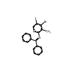 Cc1c(N=C(c2ccccc2)c2ccccc2)ncc(F)c1Br